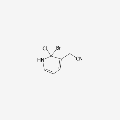 N#CCC1=CC=CNC1(Cl)Br